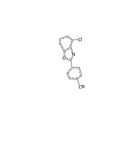 N#Cc1ccc(-c2nc3c(Cl)cccc3o2)cc1